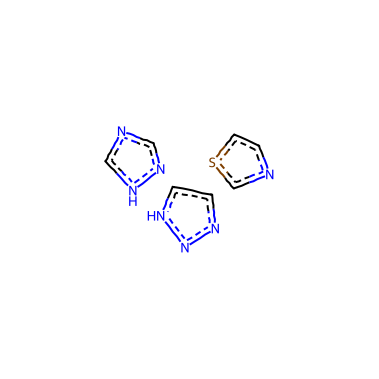 c1c[nH]nn1.c1cscn1.c1nc[nH]n1